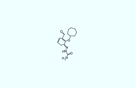 NC(=O)NN=C1CC=CC(C=O)=C1OC1CCCCCC1